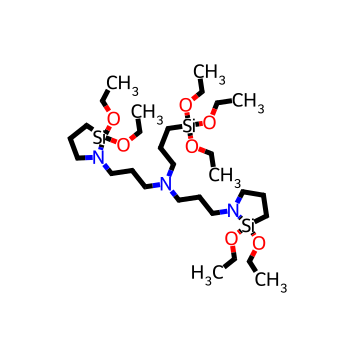 CCO[Si](CCCN(CCCN1CCC[Si]1(OCC)OCC)CCCN1CCC[Si]1(OCC)OCC)(OCC)OCC